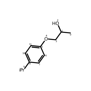 CC(O)COc1ccc(C(C)C)cc1